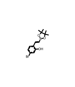 CC1(C)OB(C=Cc2ccc(Br)cc2O)OC1(C)C